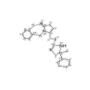 CC1(c2ccccc2)CN=C(SCC2=CSC3=NCc4ccccc4CN23)N1